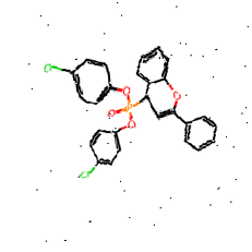 O=P(Oc1ccc(Cl)cc1)(Oc1ccc(Cl)cc1)C1C=C(c2ccccc2)Oc2ccccc21